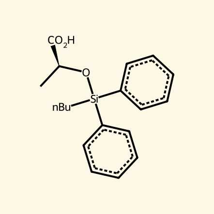 CCCC[Si](O[C@@H](C)C(=O)O)(c1ccccc1)c1ccccc1